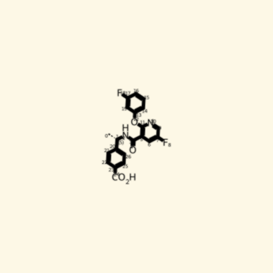 C[C@H](NC(=O)c1cc(F)cnc1Oc1cccc(F)c1)c1ccc(C(=O)O)cc1